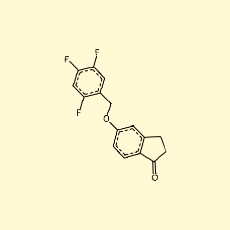 O=C1CCc2cc(OCc3cc(F)c(F)cc3F)ccc21